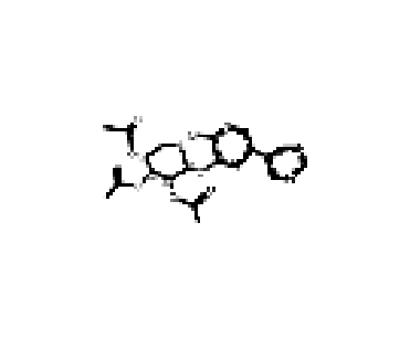 CC(=O)O[C@@H]1[C@@H](OC(C)=O)[C@H](OC(C)=O)CS[C@H]1Oc1cc(-c2cncnc2)cnc1Cl